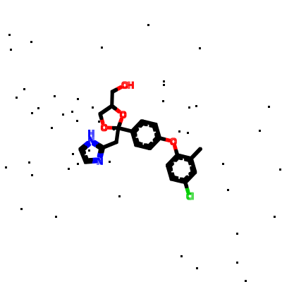 Cc1cc(Cl)ccc1Oc1ccc(C2(Cc3ncc[nH]3)OCC(CO)O2)cc1